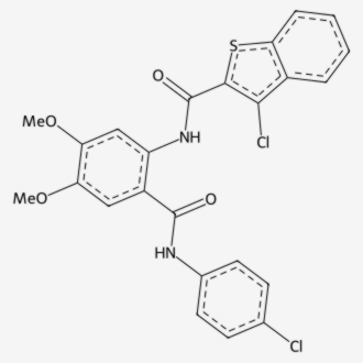 COc1cc(NC(=O)c2sc3ccccc3c2Cl)c(C(=O)Nc2ccc(Cl)cc2)cc1OC